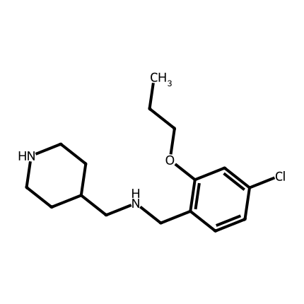 CCCOc1cc(Cl)ccc1CNCC1CCNCC1